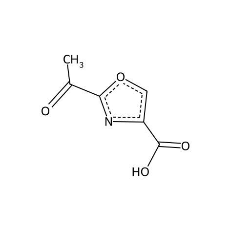 CC(=O)c1nc(C(=O)O)co1